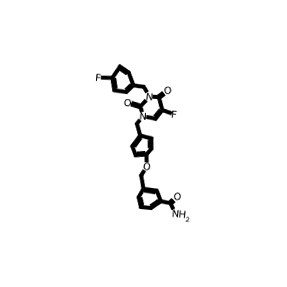 NC(=O)c1cccc(COc2ccc(Cn3cc(F)c(=O)n(Cc4ccc(F)cc4)c3=O)cc2)c1